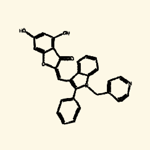 O=C1C(=Cc2c(-c3ccccc3)n(Cc3ccncc3)c3ccccc23)Oc2cc(O)cc(O)c21